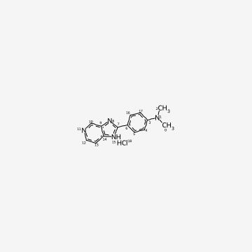 CN(C)c1ccc(-c2nc3cnccc3[nH]2)cc1.Cl